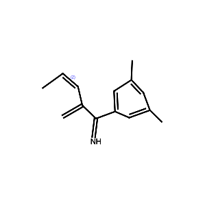 C=C(/C=C\C)C(=N)c1cc(C)cc(C)c1